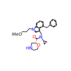 COCCCn1cc(CN(C(=O)[C@H]2CNCCO2)C2CC2)c2c(Cc3ccccc3)cccc21